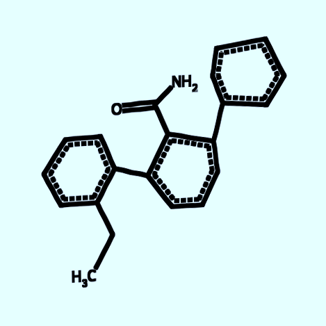 CCc1ccccc1-c1cccc(-c2ccccc2)c1C(N)=O